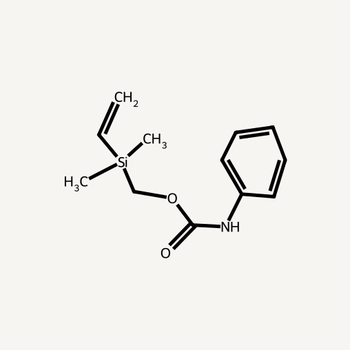 C=C[Si](C)(C)COC(=O)Nc1ccccc1